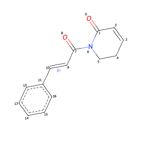 O=C1C=CCCN1C(=O)/C=C/c1ccccc1